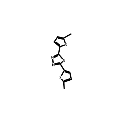 Cc1ccc(-c2nnc(-c3ccc(C)s3)s2)s1